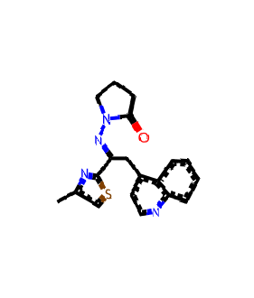 Cc1csc(/C(Cc2ccnc3ccccc23)=N/N2CCCC2=O)n1